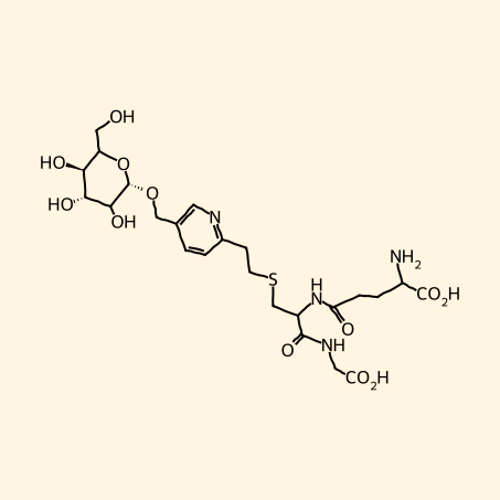 NC(CCC(=O)NC(CSCCc1ccc(CO[C@H]2OC(CO)[C@H](O)[C@@H](O)C2O)cn1)C(=O)NCC(=O)O)C(=O)O